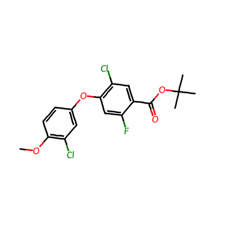 COc1ccc(Oc2cc(F)c(C(=O)OC(C)(C)C)cc2Cl)cc1Cl